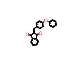 O=C1C(=Cc2ccc(Oc3ccccc3)cc2)C(=O)c2ccccc21